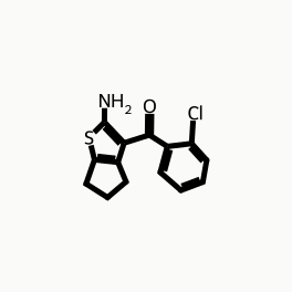 Nc1sc2c(c1C(=O)c1ccccc1Cl)CCC2